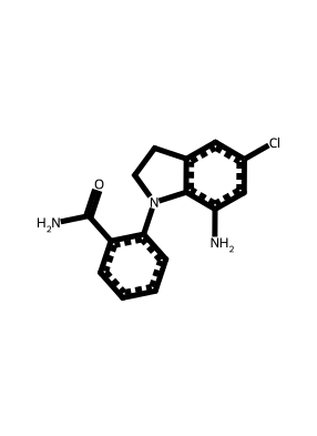 NC(=O)c1ccccc1N1CCc2cc(Cl)cc(N)c21